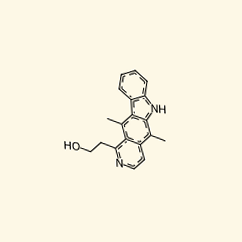 Cc1c2ccnc(CCO)c2c(C)c2c1[nH]c1ccccc12